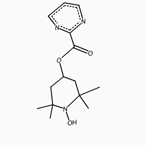 CC1(C)CC(OC(=O)c2ncccn2)CC(C)(C)N1O